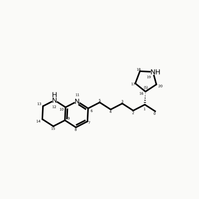 CC(CCCCc1ccc2c(n1)NCCC2)[C@@H]1CCNC1